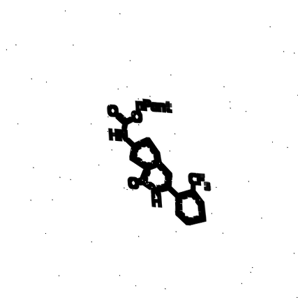 CCCCCOC(=O)Nc1ccc2cc(-c3ccccc3C(F)(F)F)[nH]c(=O)c2c1